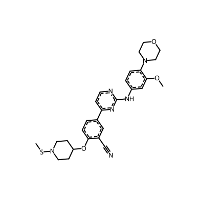 COc1cc(Nc2nccc(-c3ccc(OC4CCN(SC)CC4)c(C#N)c3)n2)ccc1N1CCOCC1